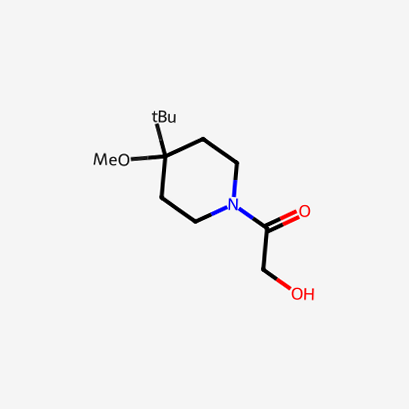 COC1(C(C)(C)C)CCN(C(=O)CO)CC1